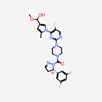 COC(O)c1cc(C)n(-c2nc(N3CCN(C(=O)N4N=CC[C@H]4c4cc(F)cc(F)c4)CC3)ncc2F)c1